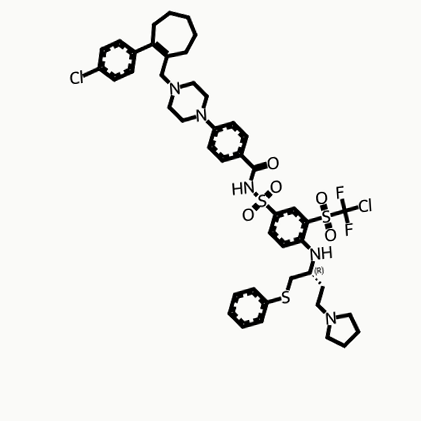 O=C(NS(=O)(=O)c1ccc(N[C@H](CCN2CCCC2)CSc2ccccc2)c(S(=O)(=O)C(F)(F)Cl)c1)c1ccc(N2CCN(CC3=C(c4ccc(Cl)cc4)CCCCC3)CC2)cc1